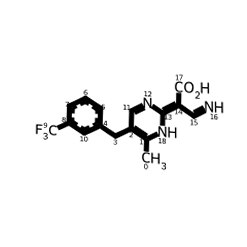 CC1=C(Cc2cccc(C(F)(F)F)c2)C=N/C(=C(/C=N)C(=O)O)N1